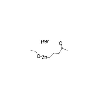 Br.CC[O][Zn][CH2]CCC(C)=O